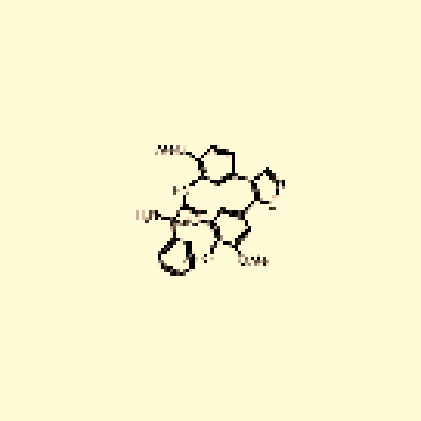 COc1ccc(-c2cnoc2-c2cc(OC)c(OC)c(OC)c2)cc1NC(=O)C(N)c1ccccc1